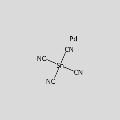 N#[C][Sn]([C]#N)([C]#N)[C]#N.[Pd]